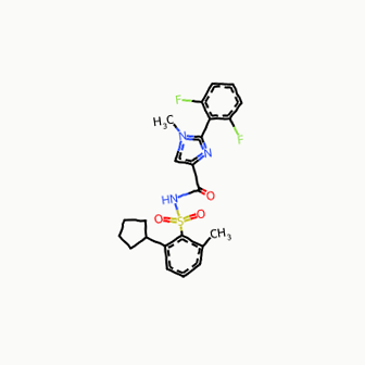 Cc1cccc(C2CCCC2)c1S(=O)(=O)NC(=O)c1cn(C)c(-c2c(F)cccc2F)n1